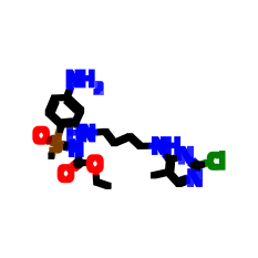 CCOC(=O)N=S(C)(=O)c1ccc(N)cc1NCCCCNc1nc(Cl)ncc1C